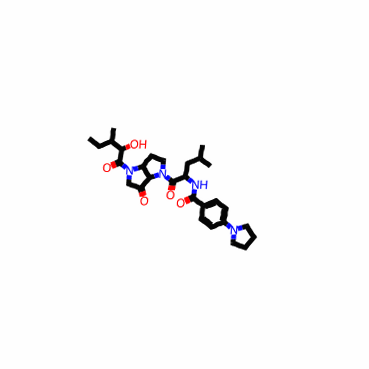 CCC(C)C(O)C(=O)N1CC(=O)C2C1CCN2C(=O)C(CC(C)C)NC(=O)c1ccc(N2CCCC2)cc1